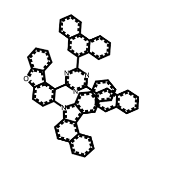 c1ccc2cc(-c3nc(-c4cc5ccccc5c5ccccc45)nc(-c4c(-n5c6cc7ccccc7cc6c6c7ccccc7ccc65)ccc5oc6ccccc6c45)n3)ccc2c1